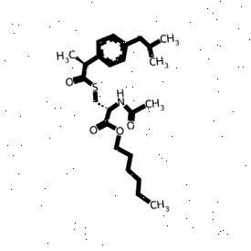 CCCCCCOC(=O)[C@H](CSC(=O)[C@@H](C)c1ccc(CC(C)C)cc1)NC(C)=O